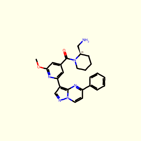 COc1cc(C(=O)N2CCCC[C@@H]2CN)cc(-c2cnn3ccc(-c4ccccc4)nc23)n1